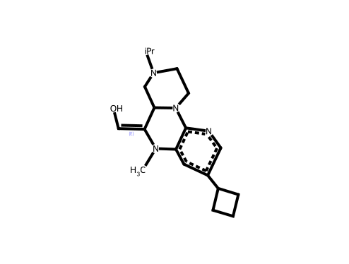 CC(C)N1CCN2c3ncc(C4CCC4)cc3N(C)/C(=C/O)C2C1